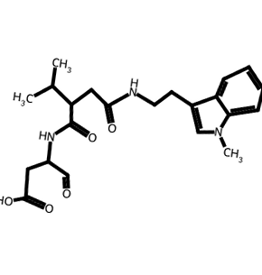 CC(C)C(CC(=O)NCCc1cn(C)c2ccccc12)C(=O)NC(C=O)CC(=O)O